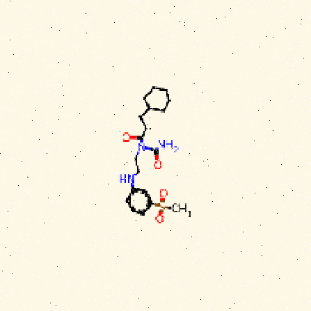 CS(=O)(=O)c1cccc(NCCN(C(N)=O)C(=O)[CH]CC2CCCCC2)c1